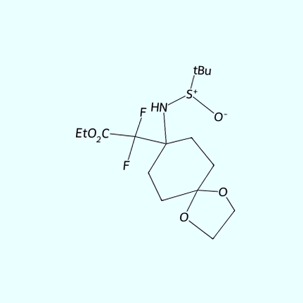 CCOC(=O)C(F)(F)C1(N[S+]([O-])C(C)(C)C)CCC2(CC1)OCCO2